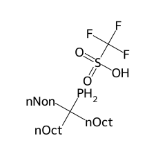 CCCCCCCCCC(P)(CCCCCCCC)CCCCCCCC.O=S(=O)(O)C(F)(F)F